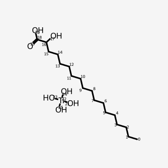 CCCCCCCCCCCCCCCCC(O)C(=O)O.[OH][Ti]([OH])([OH])[OH]